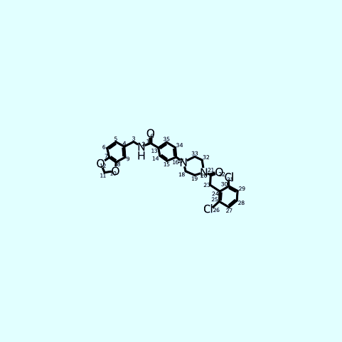 O=C(NCc1ccc2c(c1)OCO2)c1ccc(N2CCN(C(=O)Cc3c(Cl)cccc3Cl)CC2)cc1